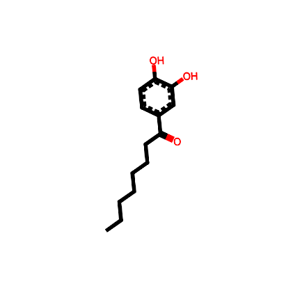 CCCCCCCC(=O)c1ccc(O)c(O)c1